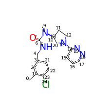 Cc1cc(CNC(=O)N(C)[C@H]2CCN(c3cccnn3)C2)ccc1Cl